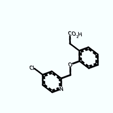 O=C(O)Cc1ccccc1OCc1cc(Cl)ccn1